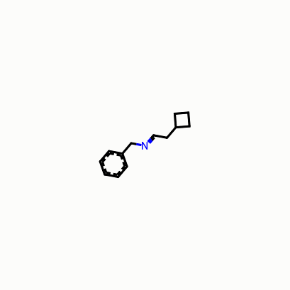 C(/CC1CCC1)=N\Cc1ccccc1